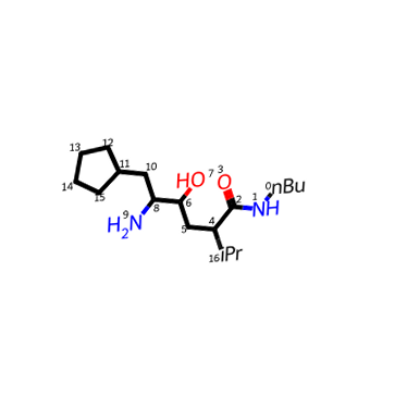 CCCCNC(=O)C(CC(O)C(N)CC1CCCC1)C(C)C